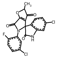 CC1OC2=C(C1=O)C1(C(=O)Nc3cc(Cl)ccc31)N(c1cc(Cl)ccc1F)C2=O